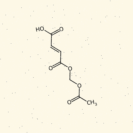 CC(=O)OCOC(=O)C=CC(=O)O